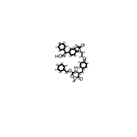 COC(=O)C(Cc1ccc(OCCn2c(=O)sc3cc(/C(=N/O)c4ccccc4)ccc32)cc1)NC(=O)OCc1ccccc1